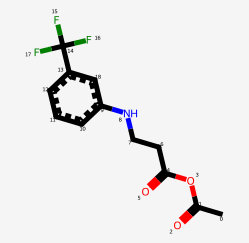 CC(=O)OC(=O)CCNc1cccc(C(F)(F)F)c1